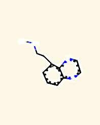 CC(C)(C)NCCc1cccc2nccnc12